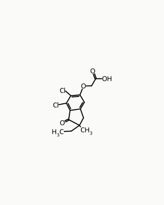 CCC1(C)Cc2cc(OCC(=O)O)c(Cl)c(Cl)c2C1=O